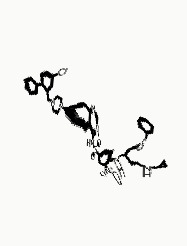 O=[N+]([O-])c1cc(S(=O)(=O)Nc2ncnc3cc(N4CCN(Cc5cc(Cl)ccc5-c5ccccc5)CC4)ccc23)ccc1NC(CCNC1CC1)CSc1ccccc1